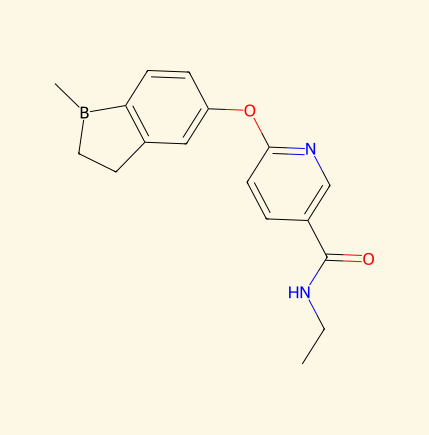 CCNC(=O)c1ccc(Oc2ccc3c(c2)CCB3C)nc1